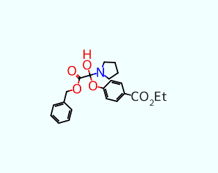 CCOC(=O)c1ccc(OC(O)(C(=O)OCc2ccccc2)N2CCCC2)cc1